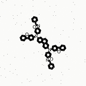 c1ccc(-c2nc3ccc(N(c4ccc5c(ccc6cc(N(c7ccc8nc(-c9ccccc9)oc8c7)c7ccc8c(c7)oc7ccccc78)ccc65)c4)c4ccc5c(c4)oc4ccccc45)cc3o2)cc1